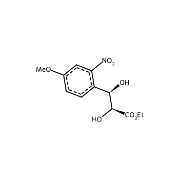 CCOC(=O)[C@@H](O)[C@H](O)c1ccc(OC)cc1[N+](=O)[O-]